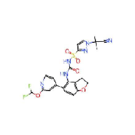 CC(C)(C#N)n1ccc(S(=O)(=O)NC(=O)Nc2c(-c3ccnc(OC(F)F)c3)ccc3c2CCO3)n1